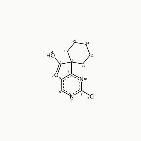 O=C(O)C1(c2ccnc(Cl)n2)CCCCC1